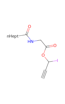 C#CC(I)OC(=O)CNC(=O)CCCCCCC